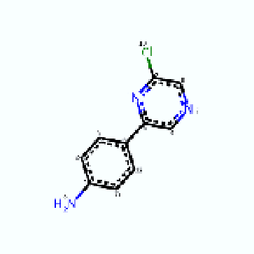 Nc1ccc(-c2cncc(Cl)n2)cc1